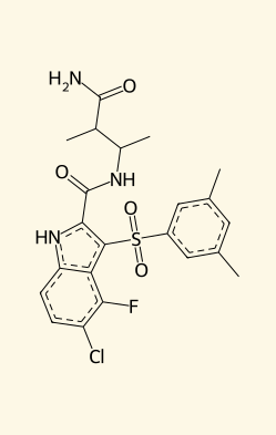 Cc1cc(C)cc(S(=O)(=O)c2c(C(=O)NC(C)C(C)C(N)=O)[nH]c3ccc(Cl)c(F)c23)c1